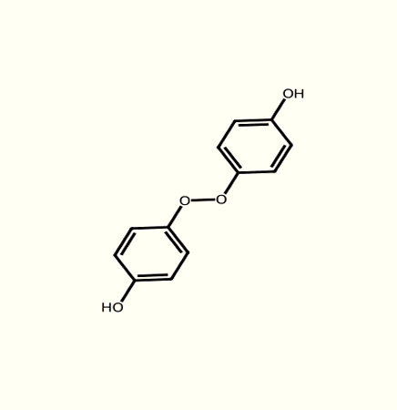 Oc1ccc(OOc2ccc(O)cc2)cc1